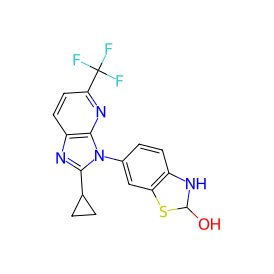 OC1Nc2ccc(-n3c(C4CC4)nc4ccc(C(F)(F)F)nc43)cc2S1